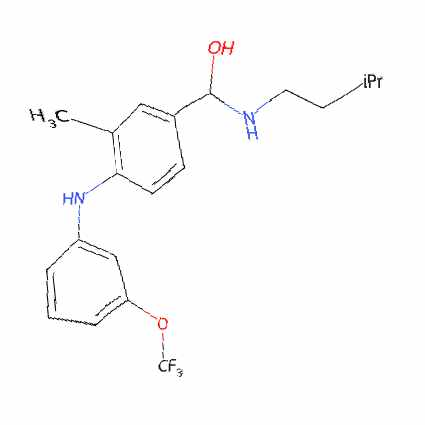 Cc1cc(C(O)NCCC(C)C)ccc1Nc1cccc(OC(F)(F)F)c1